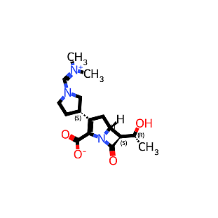 C[C@@H](O)[C@H]1C(=O)N2C(C(=O)[O-])=C([C@@H]3CCN(C=[N+](C)C)C3)C[C@H]12